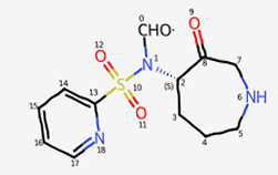 O=[C]N([C@H]1CCCNCC1=O)S(=O)(=O)c1ccccn1